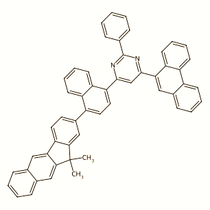 CC1(C)c2cc(-c3ccc(-c4cc(-c5cc6ccccc6c6ccccc56)nc(-c5ccccc5)n4)c4ccccc34)ccc2-c2cc3ccccc3cc21